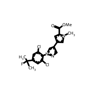 COC(=O)c1cc(-c2cnn(-c3c(Cl)cc(C(C)(C)F)cc3Cl)c2)cn1C